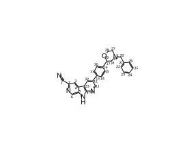 N#Cc1cc2c(cn1)[nH]c1ncc(-c3ccc(C4CN(Cc5ccccc5)CCO4)cc3)cc12